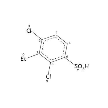 CCc1c(Cl)ccc(S(=O)(=O)O)c1Cl